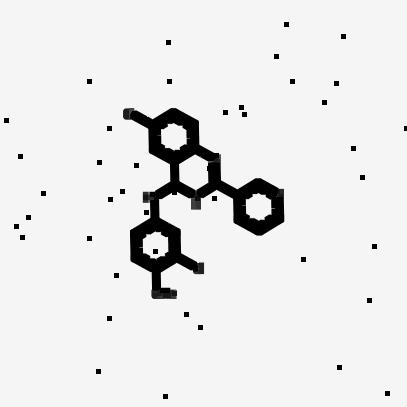 COc1ccc(NC2NC(c3cccnc3)=Nc3ccc(Cl)cc32)cc1Cl